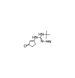 CC(C)(C)NC(=NC#N)NC1=CC(=O)CC1